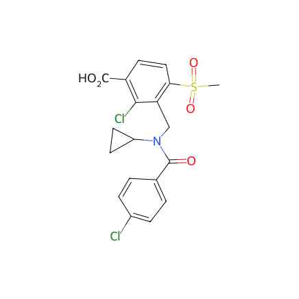 CS(=O)(=O)c1ccc(C(=O)O)c(Cl)c1CN(C(=O)c1ccc(Cl)cc1)C1CC1